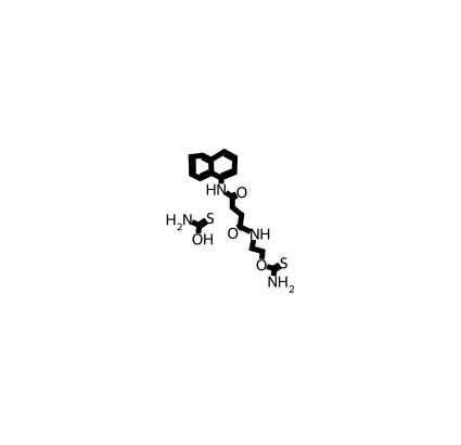 NC(=S)OCCNC(=O)CCC(=O)Nc1cccc2ccccc12.NC(O)=S